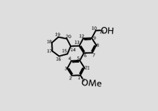 COc1cccc(-c2ccc(CO)cc2C2CCCCCC2)c1